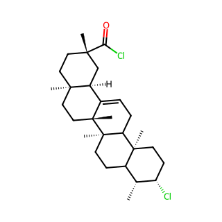 C[C@@H]1C2CC[C@]3(C)C(CC=C4[C@@H]5C[C@@](C)(C(=O)Cl)CC[C@]5(C)CC[C@]43C)[C@@]2(C)CC[C@@H]1Cl